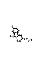 Cc1ccc2c(C[C@@H](N)C(=O)O)c[nH]c2c1